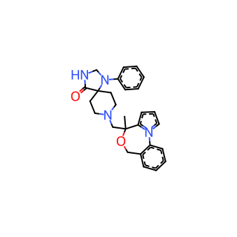 CC1(CN2CCC3(CC2)C(=O)NCN3c2ccccc2)OCc2ccccc2-n2cccc21